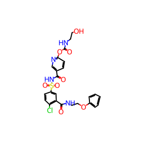 O=C(NCCO)Oc1ccc(C(=O)NS(=O)(=O)c2ccc(Cl)c(C(=O)NCCOc3ccccc3)c2)cn1